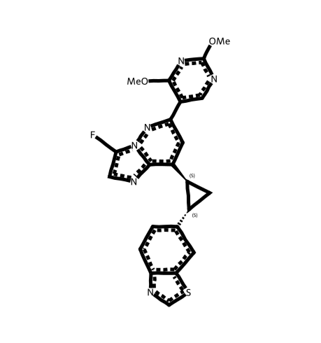 COc1ncc(-c2cc([C@H]3C[C@@H]3c3ccc4ncsc4c3)c3ncc(F)n3n2)c(OC)n1